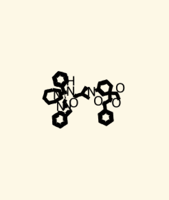 CC[C@@](NC(=O)C1CN(C2=CC(C(C)=O)(C(=O)C(=O)c3ccccc3)CC=C2)C1)(c1ccccc1)N1C2CCCC1(n1ncc3ccccc31)CC2